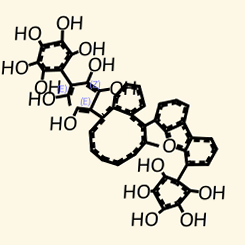 C\C(O)=C(/C(O)=C(O)\C(=C\O)c1cccccc(C)c(-c2cccc3c2oc2c(-c4c(O)c(O)c(O)c(O)c4O)cccc23)c2ccccc12)c1c(O)c(O)c(O)c(O)c1O